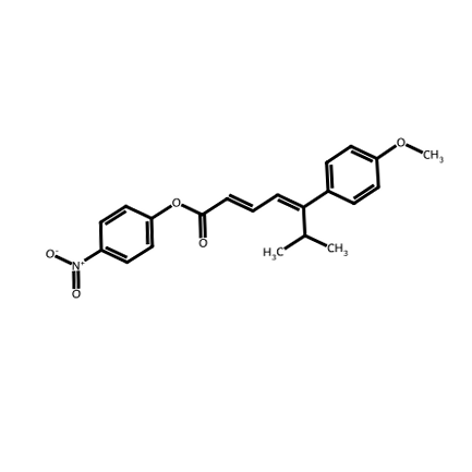 COc1ccc(/C(=C/C=C/C(=O)Oc2ccc([N+](=O)[O-])cc2)C(C)C)cc1